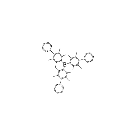 Cc1c(C)c(-c2ccccc2)c(C)c(C)c1B1c2c(C)c(C)c(-c3ccccc3)c(C)c2Cc2c(C)c(-c3ccccc3)c(C)c(C)c21